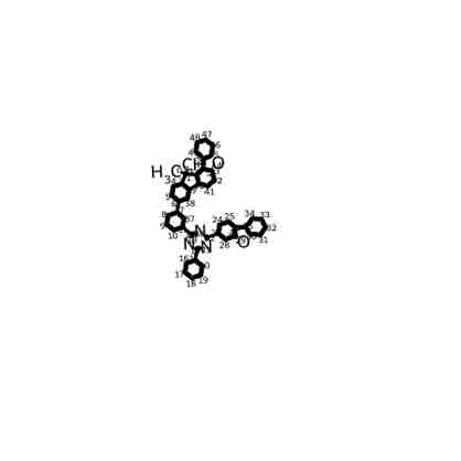 CC1(C)c2ccc(-c3cccc(-c4nc(-c5ccccc5)nc(-c5ccc6c(c5)oc5ccccc56)n4)c3)cc2-c2ccc3oc4ccccc4c3c21